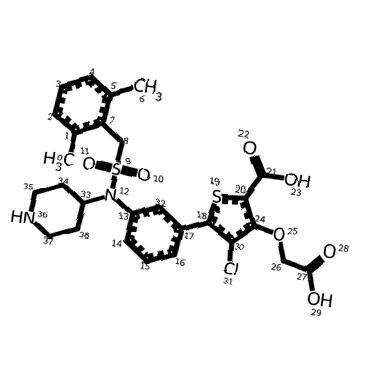 Cc1cccc(C)c1CS(=O)(=O)N(c1cccc(-c2sc(C(=O)O)c(OCC(=O)O)c2Cl)c1)C1CCNCC1